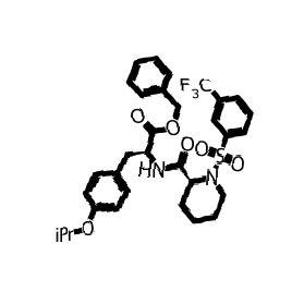 CC(C)Oc1ccc(C[C@H](NC(=O)[C@@H]2CCCCN2S(=O)(=O)c2cccc(C(F)(F)F)c2)C(=O)OCc2ccccc2)cc1